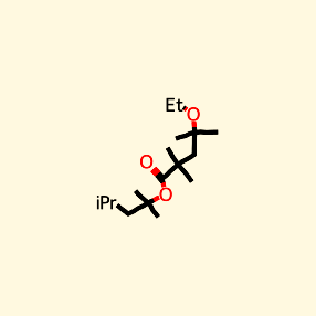 CCOC(C)(C)CC(C)(C)C(=O)OC(C)(C)CC(C)C